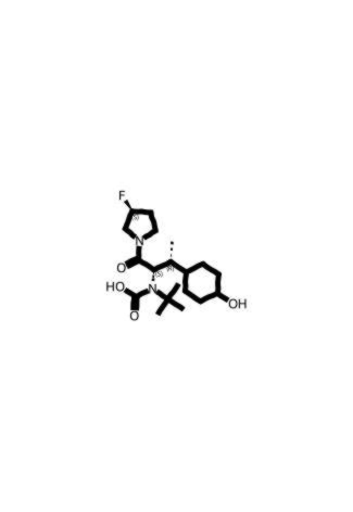 C[C@H](C1CCC(O)CC1)[C@@H](C(=O)N1CC[C@H](F)C1)N(C(=O)O)C(C)(C)C